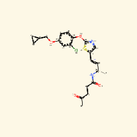 CC(=O)CCC(=O)N[C@@H](C)/C=C/c1cnc(Oc2ccc(OCC3CC3)cc2Cl)s1